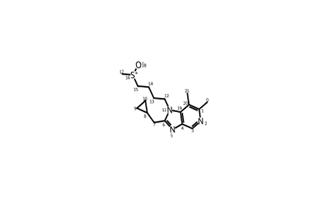 Cc1ncc2nc(CC3CC3)n(CCCC[S+](C)[O-])c2c1C